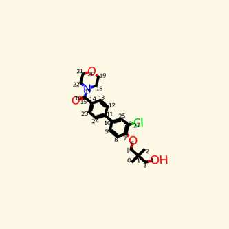 CC(C)(CO)COc1ccc(-c2ccc(C(=O)N3CCOCC3)cc2)cc1Cl